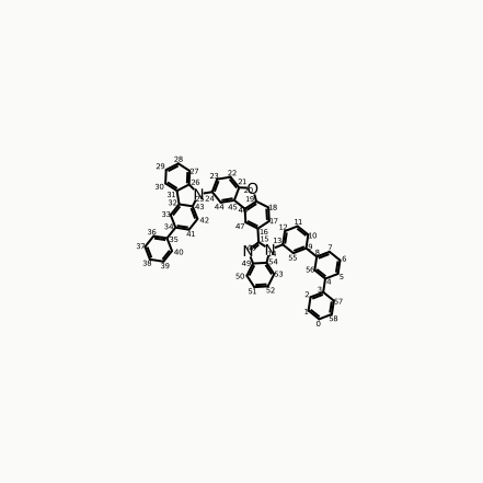 c1ccc(-c2cccc(-c3cccc(-n4c(-c5ccc6oc7ccc(-n8c9ccccc9c9cc(-c%10ccccc%10)ccc98)cc7c6c5)nc5ccccc54)c3)c2)cc1